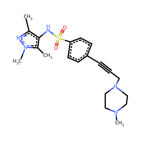 Cc1nn(C)c(C)c1NS(=O)(=O)c1ccc(C#CCN2CCN(C)CC2)cc1